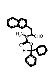 CCC(OC(=O)N(N)C(C=O)Cc1ccc2ccccc2c1)(c1ccccc1)c1ccccc1